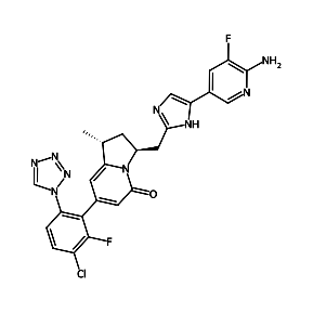 C[C@@H]1C[C@@H](Cc2ncc(-c3cnc(N)c(F)c3)[nH]2)n2c1cc(-c1c(-n3cnnn3)ccc(Cl)c1F)cc2=O